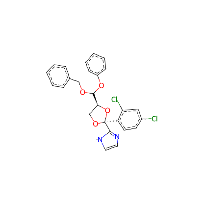 Clc1ccc([C@]2(C3=NC=C[N]3)OC[C@@H](C(OCc3ccccc3)Oc3ccccc3)O2)c(Cl)c1